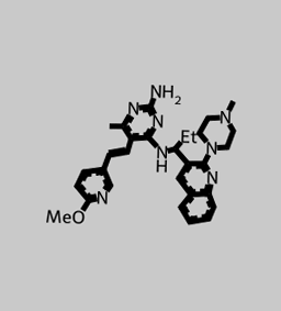 CCC(Nc1nc(N)nc(C)c1C=Cc1ccc(OC)nc1)c1cc2ccccc2nc1N1CCN(C)CC1